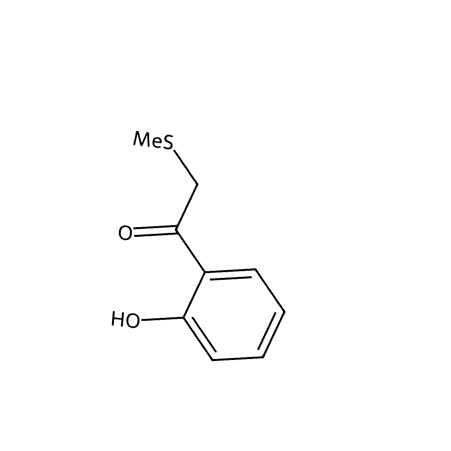 CSCC(=O)c1ccccc1O